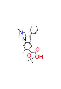 Cc1cc2nc(CN(C)C)c(C3C=CCCC3)cc2cc1C(OC(C)(C)C)C(=O)O